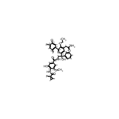 CCOc1c(CC(N)=O)cc([C@@](O)(CNC(=O)c2cc(O)c(NC(=O)C3(F)CC3)c(OC)c2)c2ccccc2)nc1-c1cc(Cl)c(F)cc1F